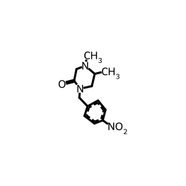 CC1CN(Cc2ccc([N+](=O)[O-])cc2)C(=O)CN1C